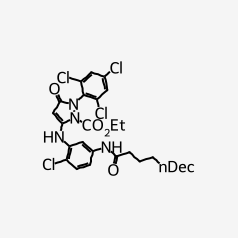 CCCCCCCCCCCCCC(=O)Nc1ccc(Cl)c(Nc2cc(=O)n(-c3c(Cl)cc(Cl)cc3Cl)n2C(=O)OCC)c1